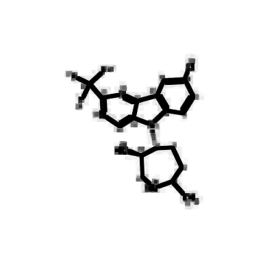 CC1CC[C@@H](n2c3ccc(Cl)cc3c3nc(C(F)(F)F)ncc32)[C@H](O)CN1